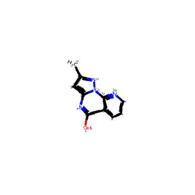 Cc1cc2nc(O)c3cccnc3n2n1